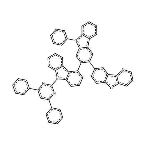 c1ccc(-c2cc(-c3ccccc3)nc(-n3c4ccccc4c4c(-c5cc6c(cc5-c5ccc7oc8cccnc8c7c5)c5ccccc5n6-c5ccccc5)cccc43)n2)cc1